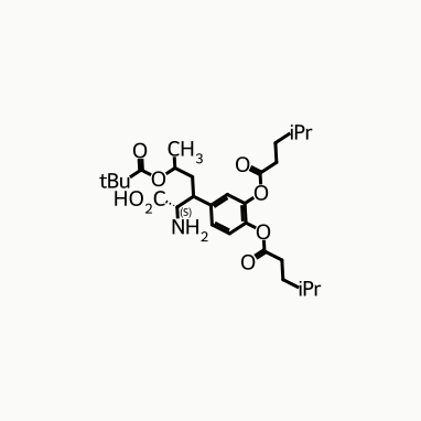 CC(C)CCC(=O)Oc1ccc(C(CC(C)OC(=O)C(C)(C)C)[C@H](N)C(=O)O)cc1OC(=O)CCC(C)C